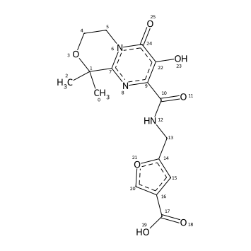 CC1(C)OCCn2c1nc(C(=O)NCc1cc(C(=O)O)co1)c(O)c2=O